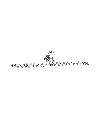 CCCCCCCC/C=C/CCCCCCCC(=O)O[C@H](COC(=O)CCCCCCCCCCCCCCC)COP(=O)(O)OCCN